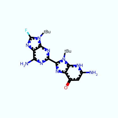 CC(C)(C)n1c(F)nc2c(N)nc(-c3nc4c(=O)cc(N)[nH]c4n3C(C)(C)C)nc21